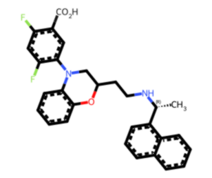 C[C@@H](NCCC1CN(c2cc(C(=O)O)c(F)cc2F)c2ccccc2O1)c1cccc2ccccc12